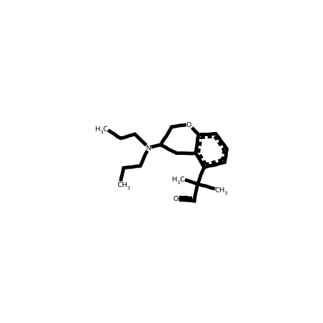 CCCN(CCC)C1COc2cccc(C(C)(C)C=O)c2C1